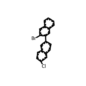 Clc1ccc2cc(-c3cc4ccccc4cc3Br)ccc2c1